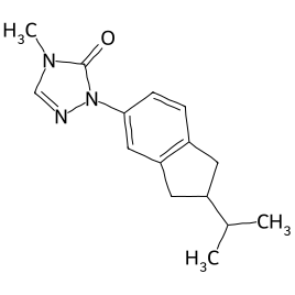 CC(C)C1Cc2ccc(-n3ncn(C)c3=O)cc2C1